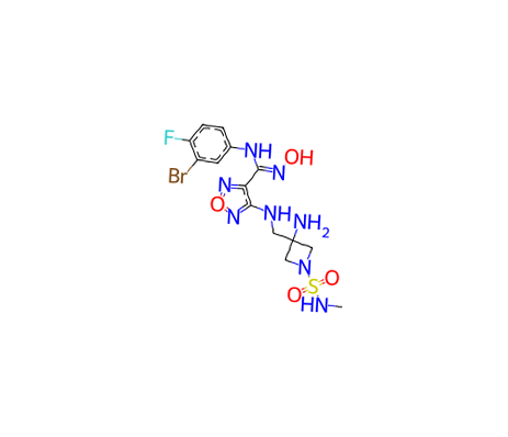 CNS(=O)(=O)N1CC(N)(CNc2nonc2/C(=N/O)Nc2ccc(F)c(Br)c2)C1